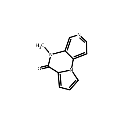 Cn1c(=O)c2cccn2c2ccncc21